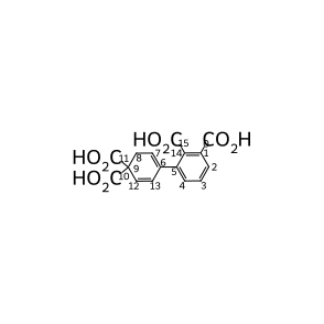 O=C(O)c1cccc(C2=CCC(C(=O)O)(C(=O)O)C=C2)c1C(=O)O